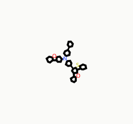 c1ccc(-c2ccc(N(c3ccc(-c4cc5c6ccccc6oc5c5c4sc4ccccc45)cc3)c3ccc4c(c3)oc3ccccc34)cc2)cc1